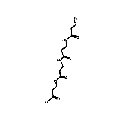 CC(C)SCC(=O)NCCC(=O)NCCC(=O)NCCC(=O)C(C)C